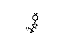 CC1(C)CCC(n2cnc(C3(N)CC3)c2)CC1